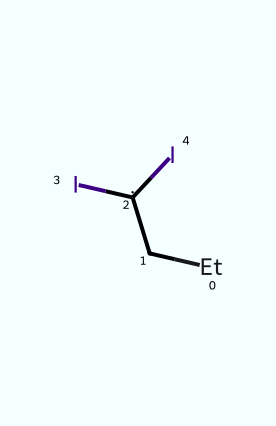 CCC[C](I)I